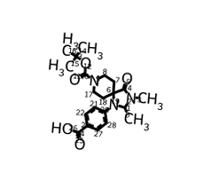 CC1N(C)C(=O)C2(CCN(C(=O)OC(C)(C)C)CC2)N1c1ccc(C(=O)O)cc1